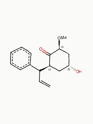 C=CC(c1ccccc1)[C@@H]1C[C@@H](O)C[C@H](OC)C1=O